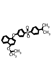 CC(C)Oc1ccc(Oc2ccc(S(=O)(=O)c3ccc(C(C)C)cc3)cc2)c2ccccc12